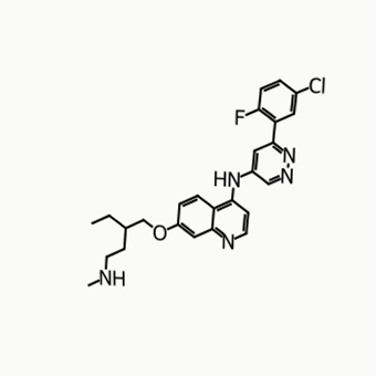 CCC(CCNC)COc1ccc2c(Nc3cnnc(-c4cc(Cl)ccc4F)c3)ccnc2c1